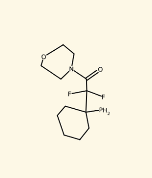 O=C(N1CCOCC1)C(F)(F)C1(P)CCCCC1